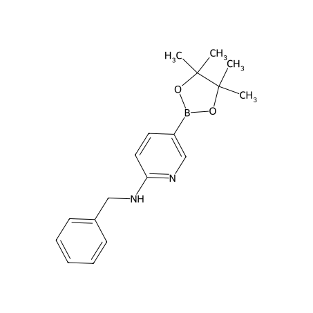 CC1(C)OB(c2ccc(NCc3ccccc3)nc2)OC1(C)C